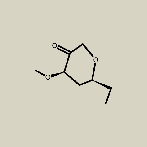 CC[C@H]1C[C@@H](OC)C(=O)CO1